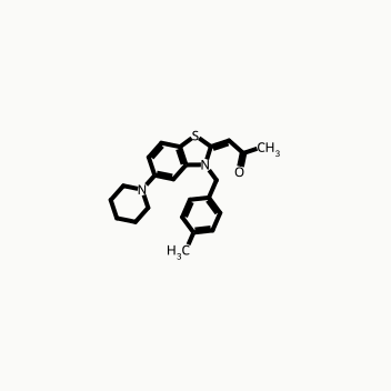 CC(=O)C=C1Sc2ccc(N3CCCCC3)cc2N1Cc1ccc(C)cc1